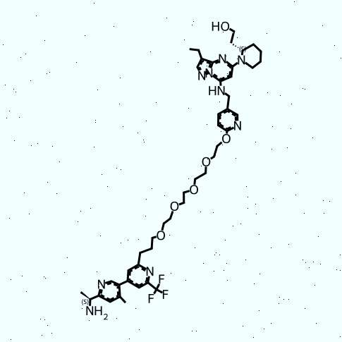 CCc1cnn2c(NCc3ccc(OCCOCCOCCOCCOCCCc4cc(-c5cnc([C@H](C)N)cc5C)cc(C(F)(F)F)n4)nc3)cc(N3CCCC[C@H]3CCO)nc12